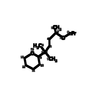 CCCOC(C)CC[Si](C)(C)C1CCCCO1